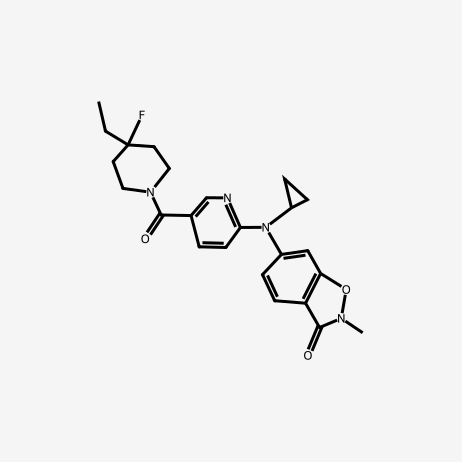 CCC1(F)CCN(C(=O)c2ccc(N(c3ccc4c(=O)n(C)oc4c3)C3CC3)nc2)CC1